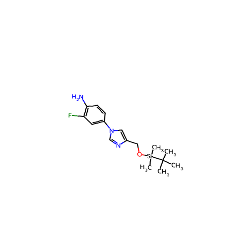 CC(C)(C)[Si](C)(C)OCc1cn(-c2ccc(N)c(F)c2)cn1